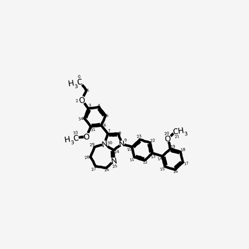 CCOc1ccc(C2=CN(c3ccc(-c4ccccc4OC)cc3)C3=NCCCCN23)c(OC)c1